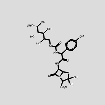 CC1(C)SC2C(NC(=O)C(NC(=O)OC[C@@H](O)[C@H](O)[C@H](O)[C@@H](O)C=O)c3ccc(O)cc3)C(=O)N2C1C(=O)O